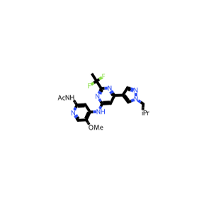 COc1cnc(NC(C)=O)cc1Nc1cc(-c2cnn(CC(C)C)c2)nc(C(C)(F)F)n1